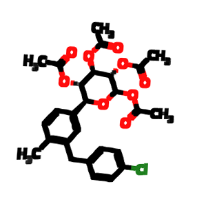 CC(=O)OC1O[C@@H](c2ccc(C)c(Cc3ccc(Cl)cc3)c2)[C@H](OC(C)=O)[C@@H](OC(C)=O)[C@@H]1OC(C)=O